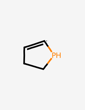 [C]1=CCCP1